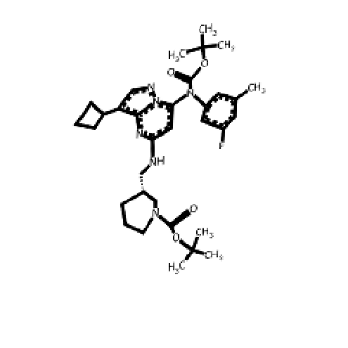 Cc1cc(F)cc(N(C(=O)OC(C)(C)C)c2cc(NC[C@H]3CCCN(C(=O)OC(C)(C)C)C3)nc3c(C4CCC4)cnn23)c1